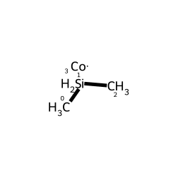 C[SiH2]C.[Co]